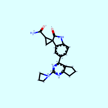 NC(=O)C1CC12C(=O)Nc1ccc(-c3nc(N4CCC4)nc4c3CCC4)cc12